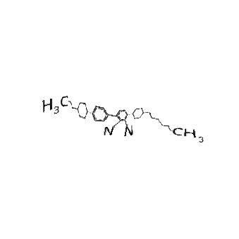 CCCCCCC[C@H]1CC[C@H](c2ccc(-c3ccc([C@H]4CC[C@H](CCC)CC4)cc3)c(C#N)c2C#N)CC1